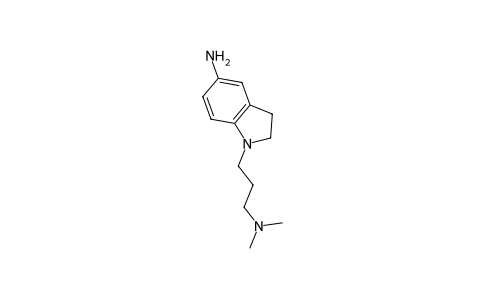 CN(C)CCCN1CCc2cc(N)ccc21